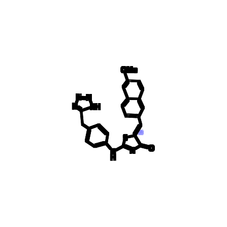 COc1ccc2cc(/C=C3\SC(Nc4ccc(Cc5nnn[nH]5)cc4)=NC3=O)ccc2c1